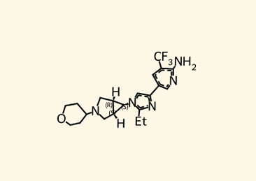 CCc1nc(-c2cnc(N)c(C(F)(F)F)c2)cn1[C@H]1[C@@H]2CN(C3CCOCC3)C[C@@H]21